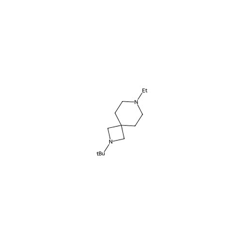 CCN1CCC2(CC1)CN(C(C)(C)C)C2